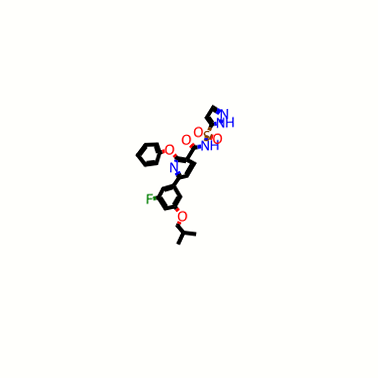 CC(C)COc1cc(F)cc(-c2ccc(C(=O)NS(=O)(=O)c3ccn[nH]3)c(Oc3ccccc3)n2)c1